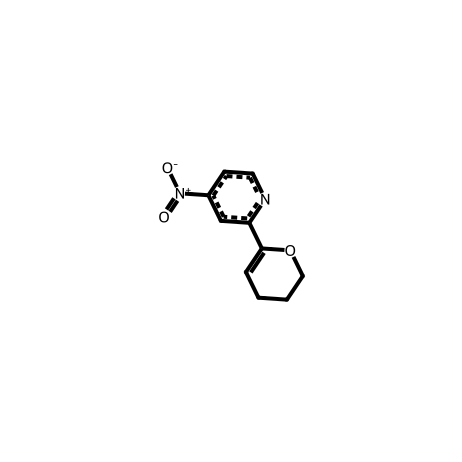 O=[N+]([O-])c1ccnc(C2=CCCCO2)c1